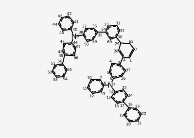 C1=CC(c2ccc(N(c3ccccc3)c3ccc(-c4ccccc4)cc3)cc2)=CC(c2cccc(-c3ccc(N(c4ccccc4)c4ccc(-c5ccccc5)cc4)cc3)c2)C1